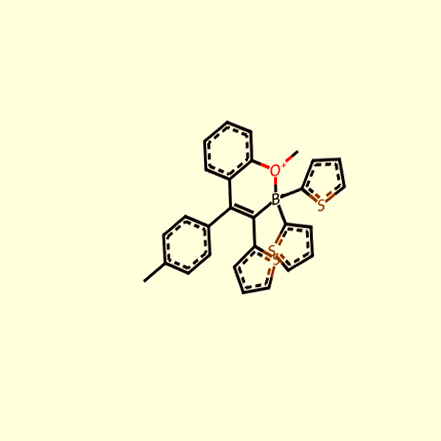 Cc1ccc(C2=C(c3cccs3)[B-](c3cccs3)(c3cccs3)[O+](C)c3ccccc32)cc1